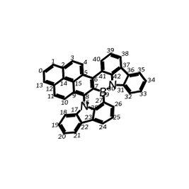 c1cc2ccc3c4c5c(c6ccc(c1)c2c36)-n1c2ccccc2c2cccc(c21)B5n1c2ccccc2c2cccc-4c21